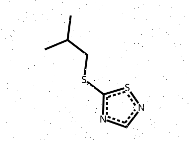 CC(C)CSc1ncns1